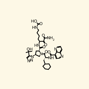 CC(C)(O)c1cnnn1[C@H]1C[C@@H](C(=O)NC(CCCCNC(=O)O)C(=O)C(N)=O)N(C(=O)[C@@H](CC2CCCCC2)NC(=O)c2ccnc3cccnc23)C1